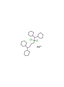 ClC(Cl)(CCCP(C1CCCCC1)C1CCCCC1)P(C1CCCCC1)C1CCCCC1.[Pd+2]